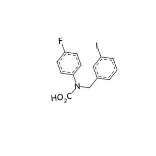 O=C(O)N(Cc1cccc(I)c1)c1ccc(F)cc1